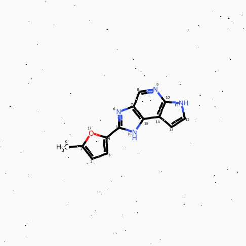 Cc1ccc(-c2nc3cnc4[nH]ccc4c3[nH]2)o1